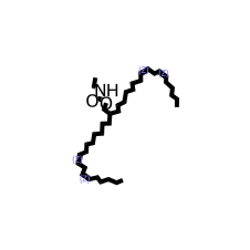 CCCCC/C=C\C/C=C\CCCCCCCC(CCCCCCC/C=C\C/C=C\CCCCC)COC(=O)NCC